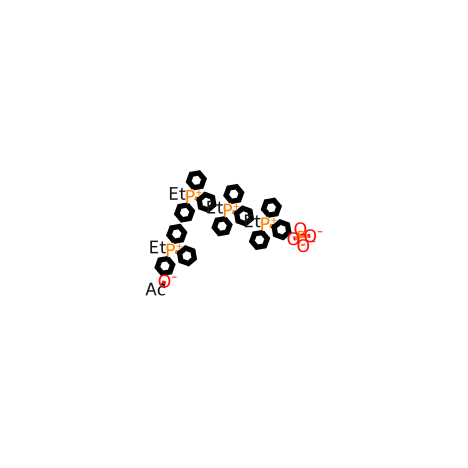 CC(=O)[O-].CC[P+](c1ccccc1)(c1ccccc1)c1ccccc1.CC[P+](c1ccccc1)(c1ccccc1)c1ccccc1.CC[P+](c1ccccc1)(c1ccccc1)c1ccccc1.CC[P+](c1ccccc1)(c1ccccc1)c1ccccc1.O=P([O-])([O-])[O-]